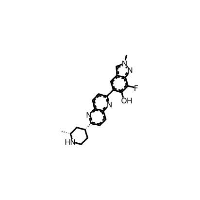 C[C@@H]1C[C@H](c2ccc3nc(-c4cc5cn(C)nc5c(F)c4O)ccc3n2)CCN1